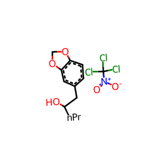 CCCC(O)Cc1ccc2c(c1)OCO2.O=[N+]([O-])C(Cl)(Cl)Cl